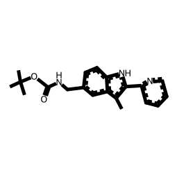 Cc1c(-c2ccccn2)[nH]c2ccc(CNC(=O)OC(C)(C)C)cc12